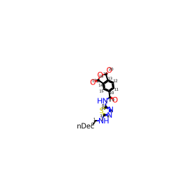 CCCCCCCCCCCNc1nnc(NC(=O)c2ccc3c(c2)C(=O)OC3=O)s1